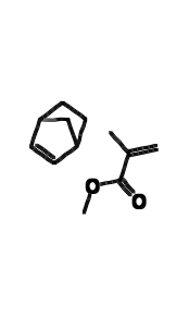 C1=CC2CCC1C2.C=C(C)C(=O)OC